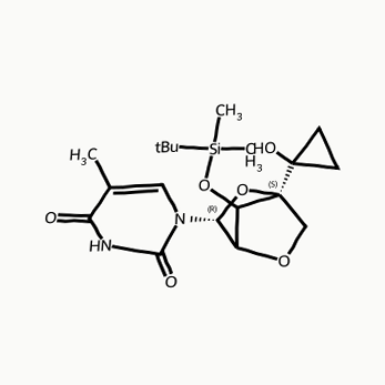 Cc1cn([C@@H]2O[C@@]3(C4(O)CC4)COC2C3O[Si](C)(C)C(C)(C)C)c(=O)[nH]c1=O